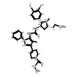 COCC[C@@H]1C[C@@H](NC(=O)Nc2c(C)c(C3=CCN(C(=O)OC(C)(C)C)CC3)nn2-c2ccccc2)[C@H](c2ccc(F)c(F)c2)N1C